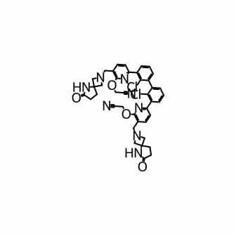 N#CCOc1nc(-c2cccc(-c3cccc(-c4ccc(CN5CC6(CCC(=O)N6)C5)c(OCC#N)n4)c3Cl)c2Cl)ccc1CN1CC2(CCC(=O)N2)C1